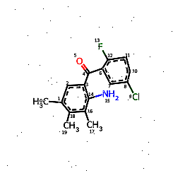 Cc1cc(C(=O)c2cc(Cl)ccc2F)c(N)c(C)c1C